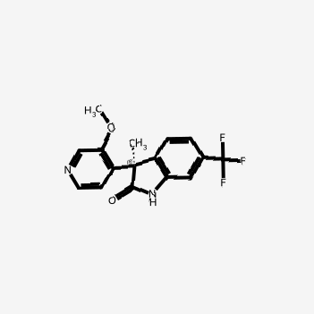 COc1cnccc1[C@]1(C)C(=O)Nc2cc(C(F)(F)F)ccc21